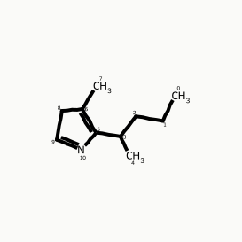 CCCC(C)C1=C(C)CC=N1